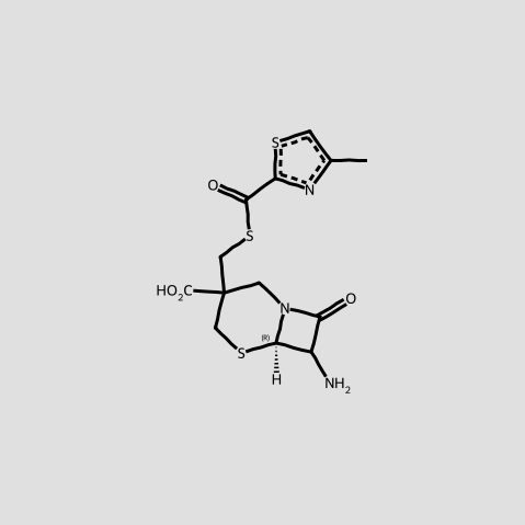 Cc1csc(C(=O)SCC2(C(=O)O)CS[C@@H]3C(N)C(=O)N3C2)n1